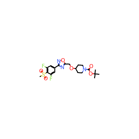 CC(C)(C)OC(=O)N1CCC(OCc2nc(-c3cc(F)c(S(C)(=O)=O)c(F)c3)no2)CC1